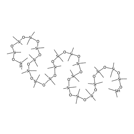 C[SiH](C)O[Si](C)(C)O[Si](C)(C)O[Si](C)(C)O[Si](C)(C)O[Si](C)(C)O[Si](C)(C)O[Si](C)(C)O[Si](C)(C)O[Si](C)(C)O[Si](C)(C)O[Si](C)(C)O[Si](C)(C)O[Si](C)(C)O[Si](C)(C)O[Si](C)(C)O[Si](C)(C)O[Si](C)(C)O[Si](C)(C)O[Si](C)(C)O[Si](C)(C)O[SiH](C)C